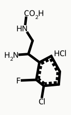 Cl.NC(CNC(=O)O)c1cccc(Cl)c1F